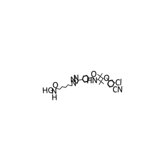 CC1(C)C(NC(=O)c2ccc(-c3cn(CCCCCC(=O)NO)nn3)cc2)C(C)(C)C1Oc1ccc(C#N)c(Cl)c1